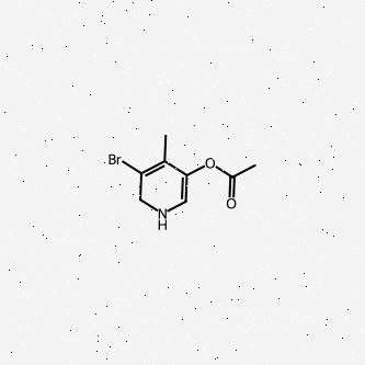 CC(=O)OC1=CNCC(Br)=C1C